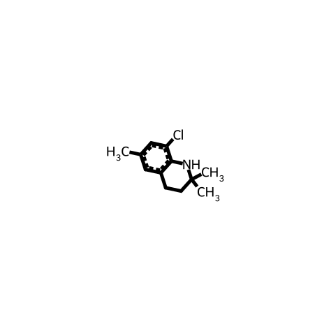 Cc1cc(Cl)c2c(c1)CCC(C)(C)N2